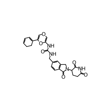 O=C1CCC(N2Cc3cc(CNC(=O)NC4=COC=C(C5=CC=CCC5)O4)ccc3C2=O)C(=O)N1